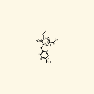 CCOC(=O)[C@H](Cc1ccc(O)cc1)NC(=O)CI